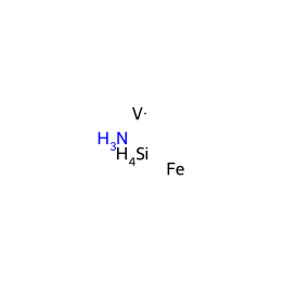 N.[Fe].[SiH4].[V]